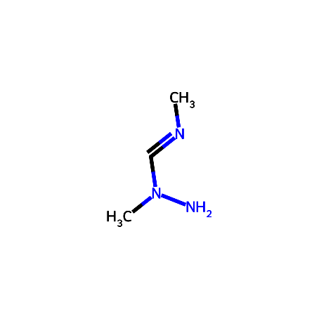 CN=CN(C)N